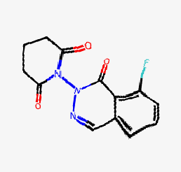 O=C1CCCC(=O)N1n1ncc2cccc(F)c2c1=O